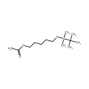 CC(C)(C)[Si](C)(C)OCCCCCOC(N)=O